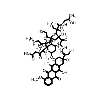 CCC(C)(CC(C)(CC(C)(CC(C)(CC(C)(C)C(=O)CC(=O)O)C(=O)CNN)C(=O)CS)C(=O)CNN=C(CO)[C@]1(O)Cc2c(O)c3c(c(O)c2[C@@H](OC2CC(N)C(O)C(C)O2)C1)C(=O)c1c(OC)cccc1C3=O)C(=O)NCC(C)O